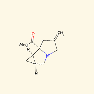 C=C1CN2C[C@H]3C[C@H]3[C@@]2(C(=O)OC)C1